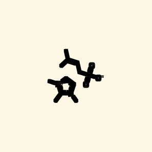 CC(C)=CCS(=O)(=O)[O-].Cc1n(C)cc[n+]1C